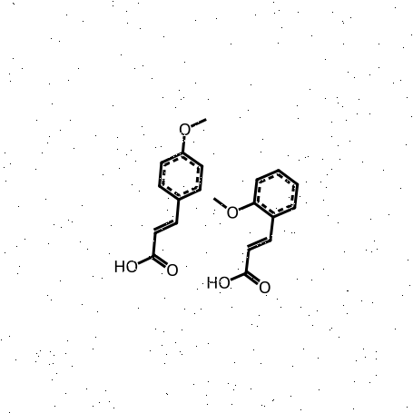 COc1ccc(C=CC(=O)O)cc1.COc1ccccc1C=CC(=O)O